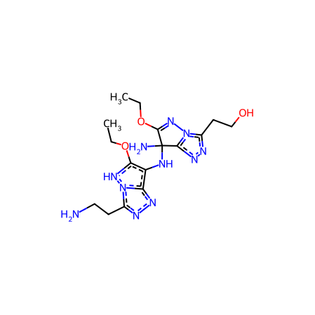 CCOC1=Nn2c(CCO)nnc2C1(N)Nc1c(OCC)[nH]n2c(CCN)nnc12